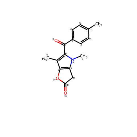 Cc1c2c(n(C)c1C(=O)c1ccc(C(F)(F)F)cc1)CC(=O)O2